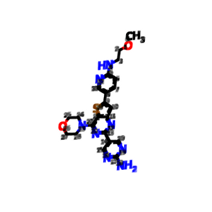 COCCNc1ccc(-c2cc3nc(-c4cnc(N)nc4)nc(N4CCOCC4)c3s2)cn1